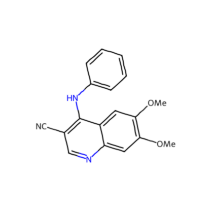 COc1cc2ncc(C#N)c(Nc3ccccc3)c2cc1OC